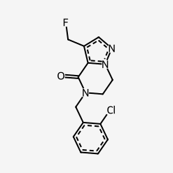 O=C1c2c(CF)cnn2CCN1Cc1ccccc1Cl